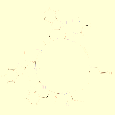 C=CCN1CC#CCN(NC(=O)[C@H](C)N)C(=O)N[C@H](Cc2c[nH]c3ccccc23)C(=O)N[C@@H](C)C(=O)N[C@@H](Cc2c[nH]c3ccccc23)C(=O)N[C@H](Cc2ccccc2)C(=O)N[C@H](C(N)=O)CCCC1